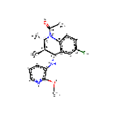 COc1ncccc1N[C@H]1c2cc(F)ccc2N(C(C)=O)[C@@H](C)[C@@H]1C